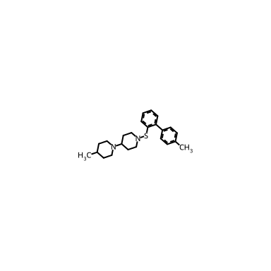 Cc1ccc(-c2ccccc2SN2CCC(N3CCC(C)CC3)CC2)cc1